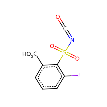 O=C=NS(=O)(=O)c1c(I)cccc1C(=O)O